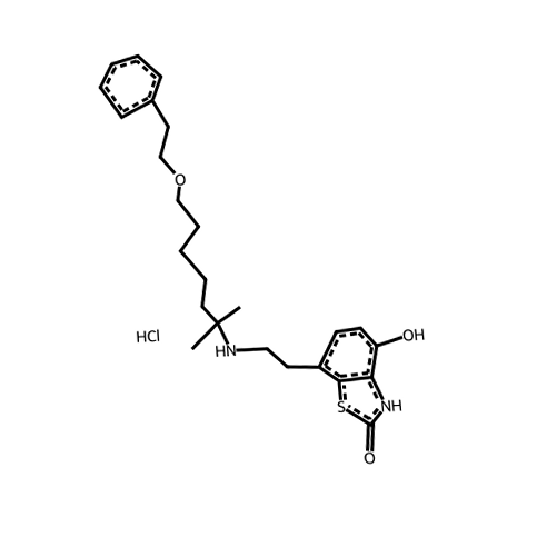 CC(C)(CCCCCOCCc1ccccc1)NCCc1ccc(O)c2[nH]c(=O)sc12.Cl